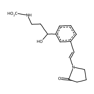 O=C(O)NCCC(O)c1cccc(/C=C/N2CCCC2=O)c1